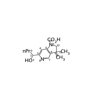 CCCC(O)c1cc2c(cn1)C(C)(C)CN2C(=O)O